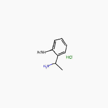 CC(=O)Nc1ccccc1C(C)N.Cl